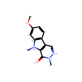 COc1ccc2c3cnn(C)c(=O)c3n(C)c2c1